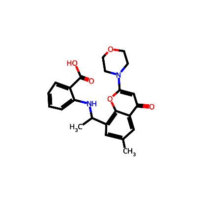 Cc1cc(C(C)Nc2ccccc2C(=O)O)c2oc(N3CCOCC3)cc(=O)c2c1